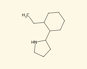 CCC1CCCCC1C1CCCN1